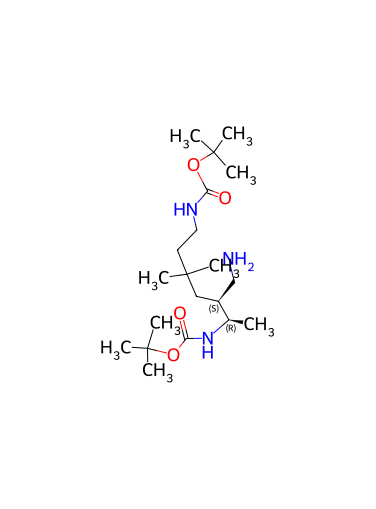 C[C@@H](NC(=O)OC(C)(C)C)[C@H](CN)CC(C)(C)CCNC(=O)OC(C)(C)C